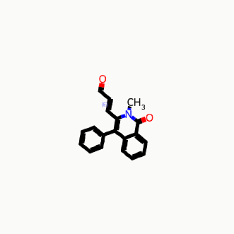 Cn1c(/C=C/C=O)c(-c2ccccc2)c2ccccc2c1=O